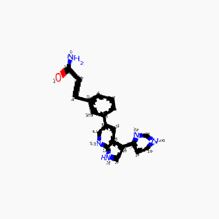 NC(=O)C=Cc1cccc(-c2cnc3[nH]cc(-c4ccncn4)c3c2)c1